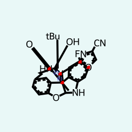 CC(C)(C)C1NC(=O)CCc2ccc3c(c2)C2(/C=C(c4nc(C#N)co4)/N=C/1O)c1cc(F)ccc1NC2O3